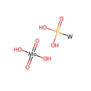 O=[P](O)(O)[W].[O]=[Mo](=[O])([OH])[OH]